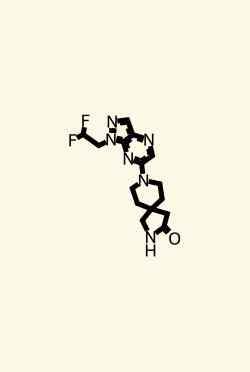 O=C1CC2(CCN(c3cnc4cnn(CC(F)F)c4n3)CC2)CN1